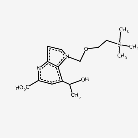 CC(O)c1cc(C(=O)O)nc2ccn(COCC[Si](C)(C)C)c12